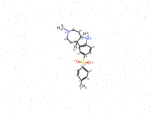 Cc1ccc(S(=O)(=O)c2ccc3c(c2)[C@@H]2CCN(C)CC[C@H]2N3)cc1